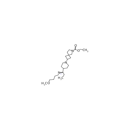 CCOC(=O)N1CCC2(CC(N3CCC(/C(CC)=N/CCCCOC)CC3)C2)C1